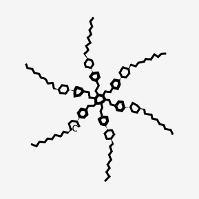 CCCCCCCCCC[C@H]1CC[C@H](c2ccc(CCc3c(CCc4ccc([C@H]5CC[C@H](CCCCCCCCCC)CC5)cc4)c(CCc4ccc([C@H]5CC[C@H](CCCCCCCCCC)CC5)cc4)c(CCc4ccc([C@H]5CC[C@H](CCCCCCCCCC)CC5)cc4)c(CCc4ccc([C@H]5CC[C@H](CCCCCCCCCC)CC5)cc4)c3CCc3ccc([C@H]4CC[C@H](CCCCCCCCCC)CC4)cc3)cc2)CC1